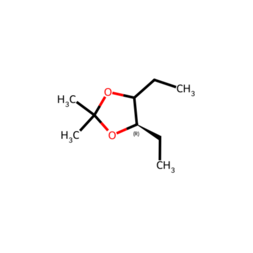 CCC1OC(C)(C)O[C@@H]1CC